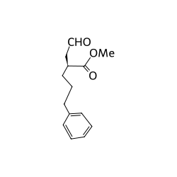 COC(=O)[C@H](CC=O)CCCc1ccccc1